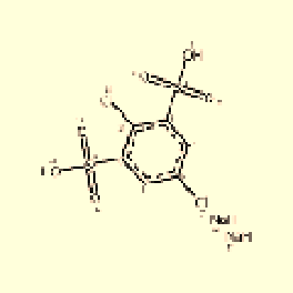 O=S(=O)(O)c1cc(Cl)cc(S(=O)(=O)O)c1Cl.[NaH].[NaH]